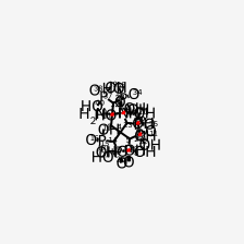 NC(N)(CC(C(P(=O)(O)O)P(=O)(O)O)(C(P(=O)(O)O)P(=O)(O)O)C(P(=O)(O)O)P(=O)(O)O)C(P(=O)(O)O)P(=O)(O)O